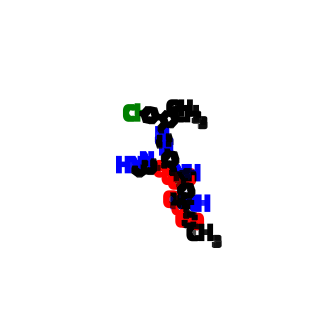 C[C@@H]1CO[C@@H](CNc2ccc(S(=O)(=O)NC(=O)c3ccc(N4CCN(CC5=C(c6ccc(Cl)cc6)CC(C)(C)CC5)CC4)cc3Oc3cnc4[nH]ccc4c3)cc2[N+](=O)[O-])CO1